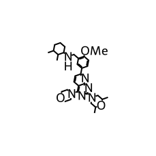 COc1ccc(-c2ccc3c(N4CCOCC4)nc(N4CC(C)OC(C)C4)nc3n2)cc1CNC1CCCC(C)C1C